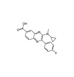 CN(c1nc2cc(C(=O)O)ccc2nc1-c1ccc(F)cc1)C1CC1